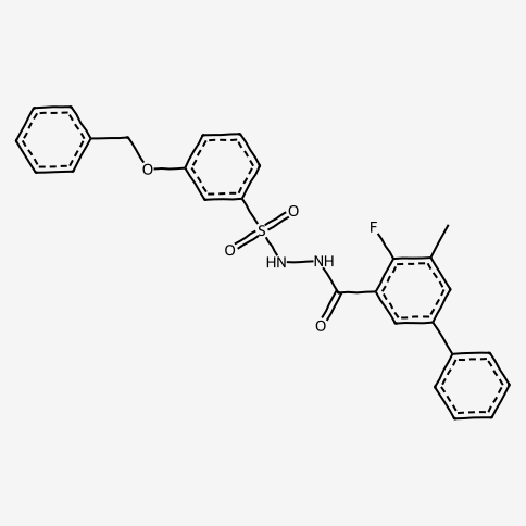 Cc1cc(-c2ccccc2)cc(C(=O)NNS(=O)(=O)c2cccc(OCc3ccccc3)c2)c1F